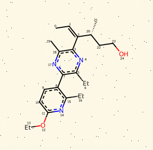 C/C=C(\c1nc(CC)c(-c2ccc(OCC)nc2CC)nc1C)[C@H](C)CCO